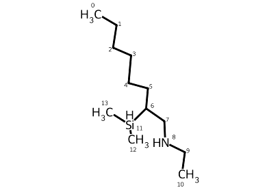 CCCCCCC(CNCC)[SiH](C)C